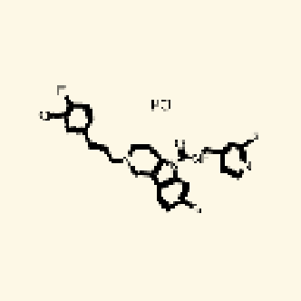 Cl.O=C(NCc1ccnc(F)c1)n1c2c(c3ccc(Br)cc31)CN(C/C=C/c1ccc(F)c(Cl)c1)CC2